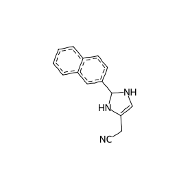 N#CCC1=CNC(c2ccc3ccccc3c2)N1